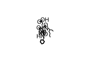 CCCCC(CC)CN1C[C@H]2N(C(=O)CN(C)N2C(=O)NCc2ccccc2)[C@@H](CCC(=O)O)C1=O